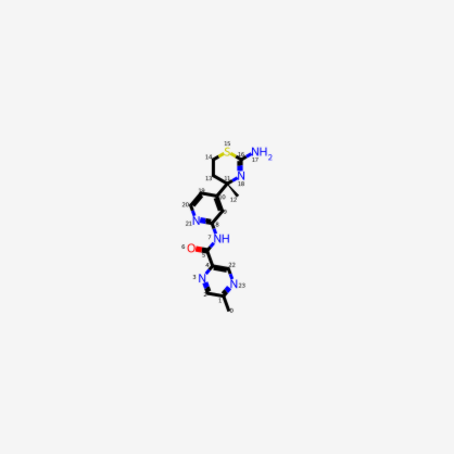 Cc1cnc(C(=O)Nc2cc([C@]3(C)CCSC(N)=N3)ccn2)cn1